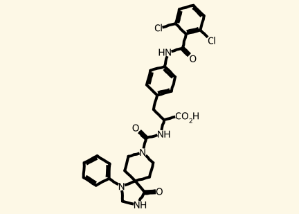 O=C(Nc1ccc(CC(NC(=O)N2CCC3(CC2)C(=O)NCN3c2ccccc2)C(=O)O)cc1)c1c(Cl)cccc1Cl